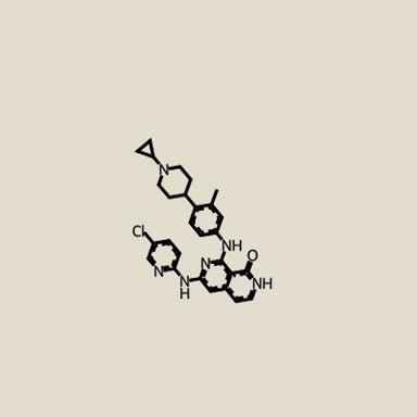 Cc1cc(Nc2nc(Nc3ccc(Cl)cn3)cc3cc[nH]c(=O)c23)ccc1C1CCN(C2CC2)CC1